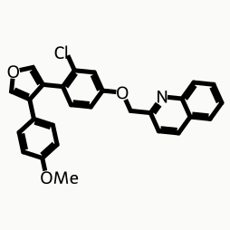 COc1ccc(-c2cocc2-c2ccc(OCc3ccc4ccccc4n3)cc2Cl)cc1